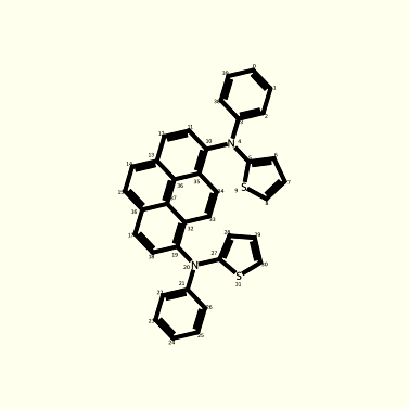 c1ccc(N(c2cccs2)c2ccc3ccc4ccc(N(c5ccccc5)c5cccs5)c5ccc2c3c45)cc1